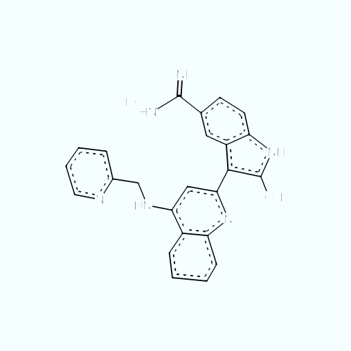 N=C(NO)c1ccc2[nH]c(O)c(-c3cc(NCc4ccccn4)c4ccccc4n3)c2c1